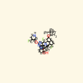 COc1nc(-c2cc(O[SiH2]C(C(C)C)(C(C)C)C(C)C)cc3ccc(F)c(C#C[Si](C(C)C)(C(C)C)C(C)C)c23)c(F)c2nc(OC[C@]3(C)CN(C)CC[C@@H]3CF)nc(N3CCC[C@@](C)(O)C3)c12